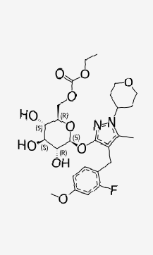 CCOC(=O)OC[C@H]1O[C@@H](Oc2nn(C3CCOCC3)c(C)c2Cc2ccc(OC)cc2F)[C@H](O)[C@@H](O)[C@@H]1O